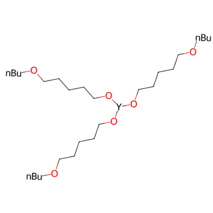 CCCCOCCCCC[O][Y]([O]CCCCCOCCCC)[O]CCCCCOCCCC